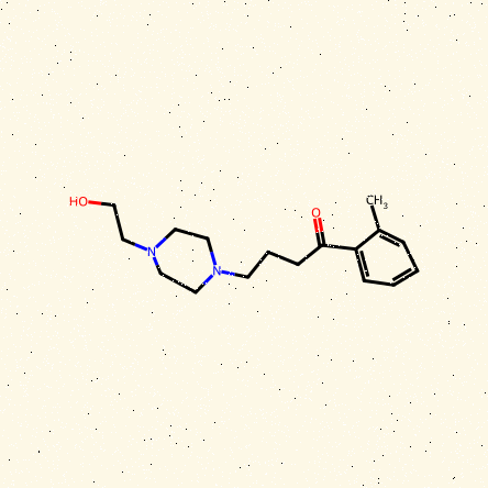 Cc1ccccc1C(=O)CCCN1CCN(CCO)CC1